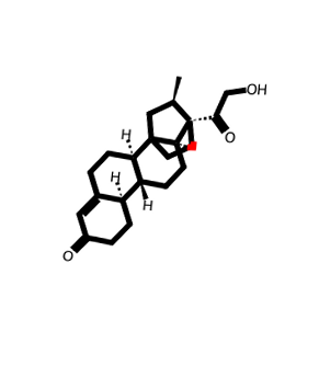 C[C@@H]1CC23CC[C@@]1(C(=O)CO)[C@@]2(C)CC[C@H]1[C@H]3CCC2=CC(=O)CC[C@@H]21